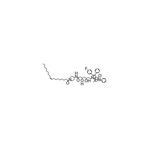 CCCCCCCC/C=C\CCCCCCCC(=O)N1CCC(NC(=O)C[C@H](O)C[C@H](O)CCn2c(-c3ccc(F)cc3)c(-c3ccccc3)c(C(=O)Nc3ccccc3)c2C(C)C)CC1